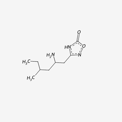 CCC(C)CC(N)Cc1noc(=O)[nH]1